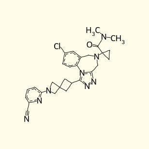 CN(C)C(=O)C1(N2Cc3cc(Cl)ccc3-n3c(nnc3C3CC4(C3)CN(c3cccc(C#N)n3)C4)C2)CC1